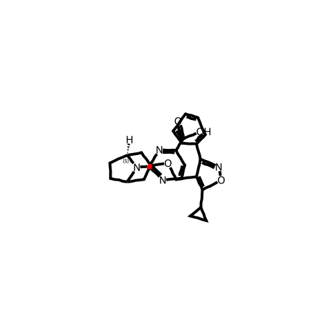 O=C(O)c1ccnc(N2C3CC[C@H]2CC(OCc2c(-c4ccccc4)noc2C2CC2)C3)n1